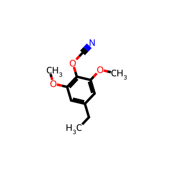 CCc1cc(OC)c(OC#N)c(OC)c1